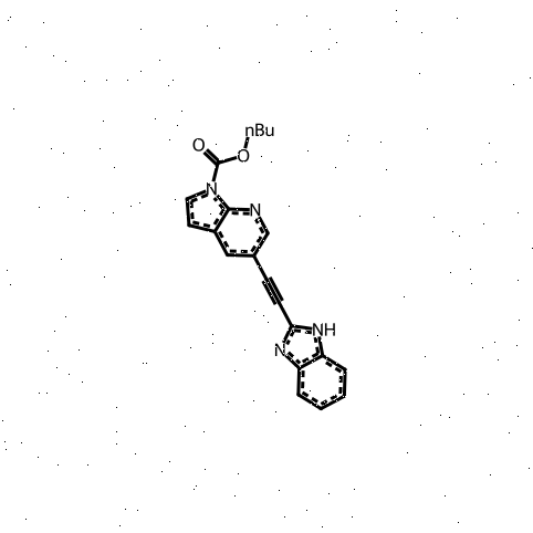 CCCCOC(=O)n1ccc2cc(C#Cc3nc4ccccc4[nH]3)cnc21